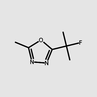 Cc1nnc(C(C)(C)F)o1